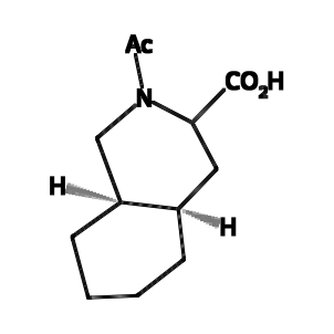 CC(=O)N1C[C@@H]2CCCC[C@@H]2CC1C(=O)O